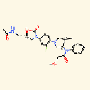 COCC(=O)N(c1ccccc1)[C@H]1CN(c2ccc(N3C[C@H](CNC(C)=O)OC3=O)cc2F)C[C@H]1C